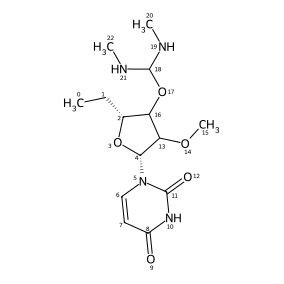 CC[C@H]1O[C@@H](n2ccc(=O)[nH]c2=O)C(OC)C1OC(NC)NC